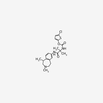 CC1CN(C)CCc2cc(NC(=O)C(C)(C)NC(=O)Oc3ccc(Cl)s3)ccc21